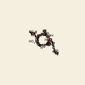 CCCCCC[C@@H]1NC(=O)[C@H](Cc2ccc(CNC(=O)COCCOCCNC(=O)c3ccc(F)nc3)cc2)NC(=O)[C@H](Cc2ccccc2)N(C)C(=O)CNC(=O)CNC(=O)[C@H]2CCCN2C(=O)[C@H](CC(=O)O)NC(=O)[C@H](CCCCNC(=O)N2CCN(CC(=O)O)CC2)NC(=O)CNC(=O)[C@H](Cc2c[nH]c3ccccc23)NC1=O